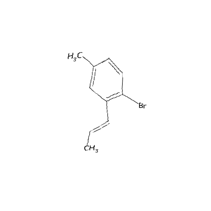 CC=Cc1cc(C)ccc1Br